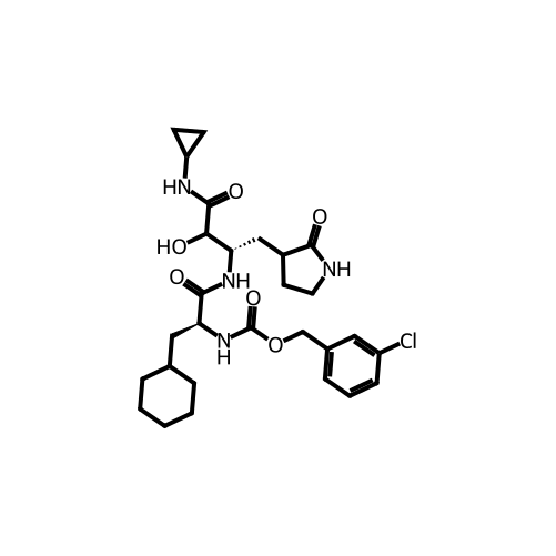 O=C(N[C@@H](CC1CCCCC1)C(=O)N[C@@H](CC1CCNC1=O)C(O)C(=O)NC1CC1)OCc1cccc(Cl)c1